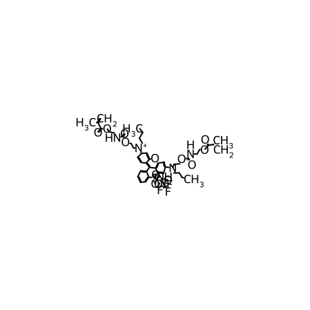 C=C(C)C(=O)OCCNC(=O)OCCN(CCCC)c1ccc2c(-c3ccccc3S(=O)(=O)NS(=O)(=O)C(F)(F)F)c3cc/c(=[N+](/CCCC)CCOC(=O)NCCOC(=O)C(=C)C)cc-3oc2c1